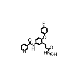 O=C(C=Cc1cc(NC(=O)c2cccnc2)ccc1Oc1ccc(F)cc1)NO